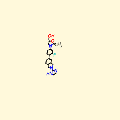 C=C1O[C@@H](CO)CN1c1ccc(-c2ccc3c(c2)CN(c2ncc[nH]2)C3)c(F)c1